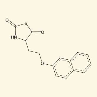 O=C1NC(CCOc2ccc3ccccc3c2)C(=O)S1